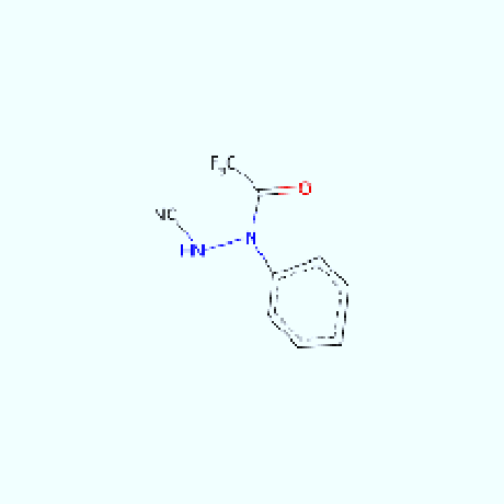 N#CNN(C(=O)C(F)(F)F)c1ccccc1